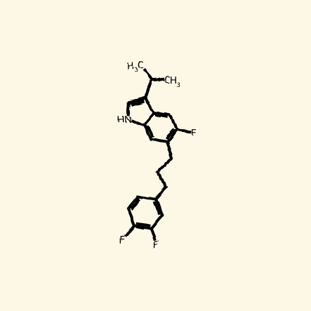 CC(C)c1c[nH]c2cc(CCCc3ccc(F)c(F)c3)c(F)cc12